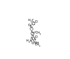 CC[C@H]1CN(c2nc(N)c(C(=O)NC)nc2Cl)CCN1C1CCN(C(=O)c2ccc(Cl)c(C)c2)CC1